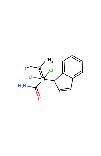 C[Si](C)=[Ti]([Cl])([Cl])([C](N)=O)[CH]1C=Cc2ccccc21